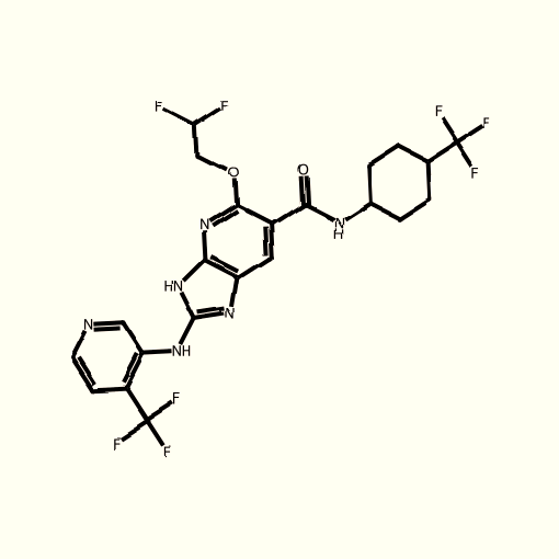 O=C(NC1CCC(C(F)(F)F)CC1)c1cc2nc(Nc3cnccc3C(F)(F)F)[nH]c2nc1OCC(F)F